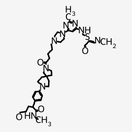 C=N/C=C(/C=O)SCNc1cc(N2CCN(CCCCC(=O)N3CCC4(CCN(c5ccc(C(CCC=O)C(=O)NC)cc5)CC4)C3)CC2)nc(C)n1